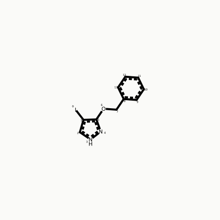 Ic1c[nH]nc1OCc1ccccc1